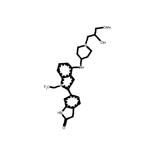 COCC(O)CN1CCC(Nc2cccc3c2cc(-c2ccc4c(c2)NC(=O)C4)n3CC(F)(F)F)CC1